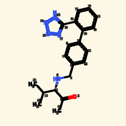 CC(=O)[C@@H](NCc1ccc(-c2ccccc2-c2nnn[nH]2)cc1)C(C)C